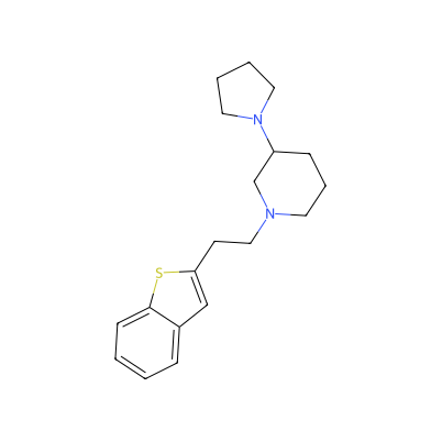 c1ccc2sc(CCN3CCCC(N4CCCC4)C3)cc2c1